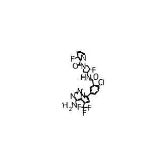 Nc1ncnn2c(-c3ccc(Cl)c(C(=O)N[C@@H]4CN(C(=O)c5ncccc5F)C[C@@H]4F)c3)cc(C(F)(F)F)c12